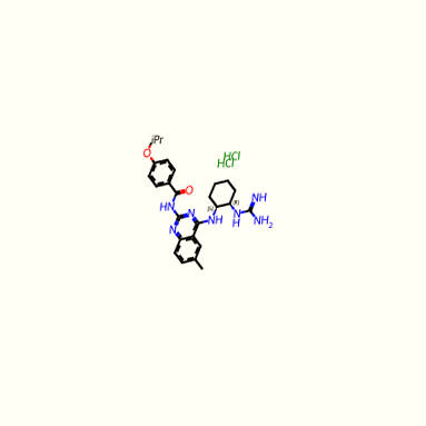 Cc1ccc2nc(NC(=O)c3ccc(OC(C)C)cc3)nc(N[C@H]3CCCC[C@H]3NC(=N)N)c2c1.Cl.Cl